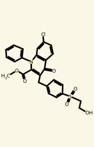 COC(=O)c1c(Cc2ccc(S(=O)(=O)CCO)cc2)c(=O)c2ccc(Cl)cc2n1-c1ccccc1